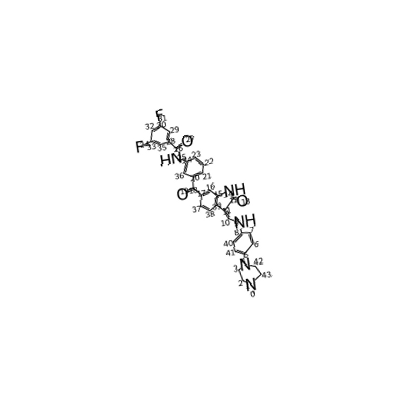 CN1CCN(c2ccc(NC=C3C(=O)Nc4cc(C(=O)c5cccc(NC(=O)c6cc(F)cc(F)c6)c5)ccc43)cc2)CC1